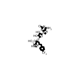 Nc1nc(Cl)nc2c1ncn2[C@@H]1O[C@H](COC(CCCc2ccc(C(F)(F)F)cc2)(C(=O)O)c2nn[nH]n2)[C@@H](O)[C@H]1O